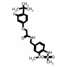 COc1cc(CNC(=O)COc2ccc(C(C)(C)C)c(F)c2)ccc1NS(C)(=O)=O